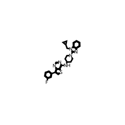 Fc1cccc(-c2csc3c(NC4CCN(c5nc6ccccc6n5CC5CC5)CC4)ncnc23)c1